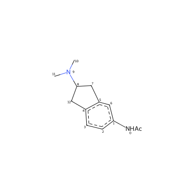 CC(=O)Nc1ccc2c(c1)CC(N(C)C)C2